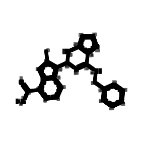 Cc1cc2c(C(N)=O)cccn2c1C1N=C(NCc2ccccc2)c2occc2N1